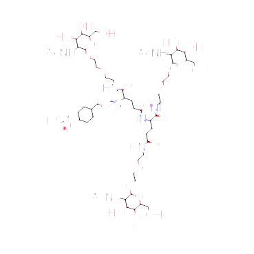 CC(=O)NC1C(OCCOCCNC(=O)CCC(NC(=O)CCC(NCOCC2CCC(OP(C)(=O)S)CC2)C(=O)NCCOCCOC2OC(CO)C(O)C(O)C2NC(C)=O)C(=O)NCCOCCOC2OC(CO)C(O)C(O)C2NC(C)=O)OC(CO)C(O)C1O